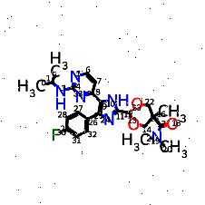 CC(C)Nc1nccc(-c2[nH]c(C3OCC(C)(C(=O)N(C)C)CO3)nc2-c2ccc(F)cc2)n1